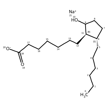 CCCCCC[C@H]1CCC(O)[C@@H]1CCCCCCC(=O)[O-].[Na+]